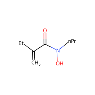 [CH2]CCN(O)C(=O)C(=C)CC